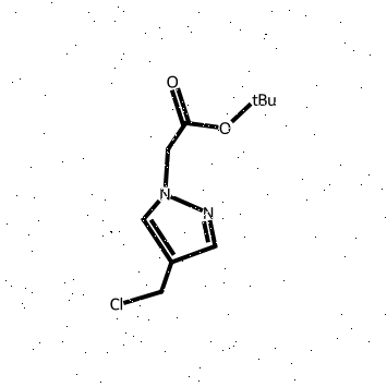 CC(C)(C)OC(=O)Cn1cc(CCl)cn1